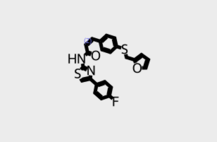 O=C(/C=C\c1ccc(SCc2ccco2)cc1)Nc1nc(-c2ccc(F)cc2)cs1